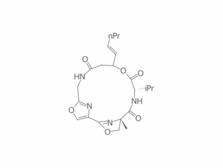 CCC/C=C/C1CC(=O)NCc2nc(co2)C2=N[C@@](C)(CO2)C(=O)N[C@@H](C(C)C)C(=O)O1